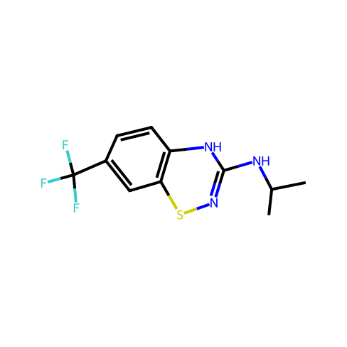 CC(C)NC1=NSc2cc(C(F)(F)F)ccc2N1